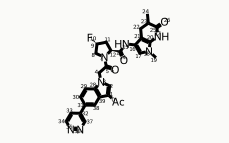 CC(=O)c1cn(CC(=O)N2C[C@H](F)C[C@H]2C(=O)Nc2cn(C)c3c2CC(C)C(=O)N3)c2ccc(-c3ccnnc3)cc12